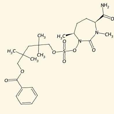 C[C@H]1CC[C@@H](C(N)=O)N(C)C(=O)N1OS(=O)(=O)OCC(C)(C)CC(C)(C)COC(=O)c1ccccc1